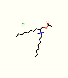 CCCCCCCCC(COC(C)=O)[N+](C)(C)CCCCCCCC.[Cl-]